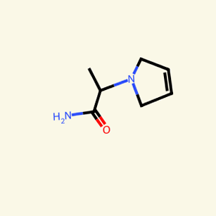 CC(C(N)=O)N1CC=CC1